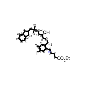 CCOC(=O)CC/C=C/c1cc(F)c(F)cc1[C@@H](C)OC[C@H](O)CNC(C)(C)CC1Cc2ccccc2C1